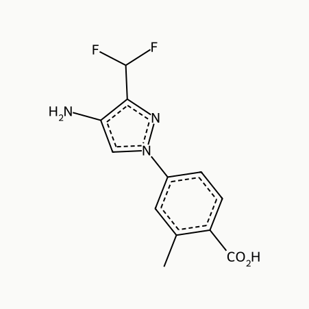 Cc1cc(-n2cc(N)c(C(F)F)n2)ccc1C(=O)O